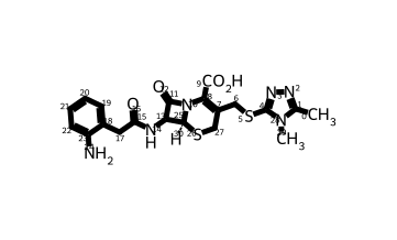 Cc1nnc(SCC2=C(C(=O)O)N3C(=O)C(NC(=O)Cc4ccccc4N)[C@@H]3SC2)n1C